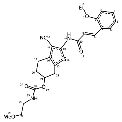 CCOc1ccccc1/C=C/C(=O)Nc1sc2c(c1C#N)CCC(OC(=O)NCCOC)C2